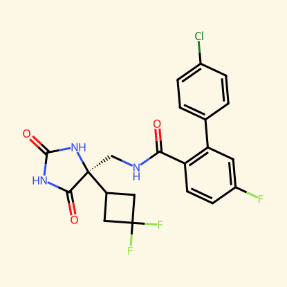 O=C1NC(=O)[C@](CNC(=O)c2ccc(F)cc2-c2ccc(Cl)cc2)(C2CC(F)(F)C2)N1